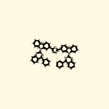 c1ccc(-c2nc(-n3c4ccccc4c4ccc(-c5nnc(-c6ccc7c8ccccc8n(-c8nc(-c9ccccc9)c9ccccc9n8)c7c6)o5)cc43)nc3ccccc23)cc1